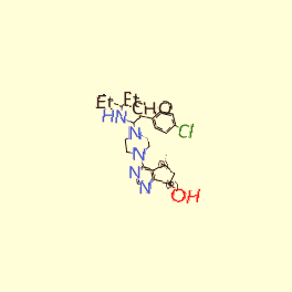 CCC(CC)NC(C(C=O)c1ccc(Cl)cc1)N1CCN(c2ncnc3c2[C@H](C)C[C@H]3O)CC1